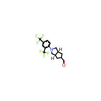 O=CC1C[C@@H]2CN(c3ccc(C(F)(F)F)cc3C(F)(F)F)C[C@@H]2C1